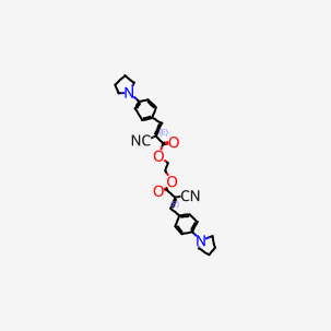 N#C/C(=C\c1ccc(N2CCCC2)cc1)C(=O)OCCOC(=O)/C(C#N)=C/c1ccc(N2CCCC2)cc1